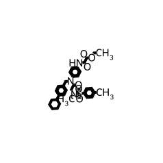 CCOC(=O)C(=O)Nc1ccc(N(Cc2ccc(C3CCCCC3)cc2)C(=O)CN(C)S(=O)(=O)c2ccc(C)cc2)cc1